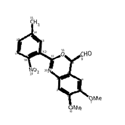 COc1cc2c(cc1OC)C(C=O)OC(c1cc(C)ccc1[N+](=O)[O-])=N2